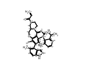 C=CC(=O)N1CCN2c3nc(=O)n(-c4c(C)ccnc4C(C)C)c4c(Cl)c(-c5c(C)ccc6[nH]ncc56)c(F)c(c34)OCC2C1